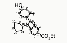 CCOC(=O)c1ccc2c(c1)nc(-c1ccc(O)cc1F)n2C1CCCCC1